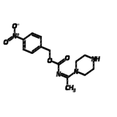 CC(=NC(=O)OCc1ccc([N+](=O)[O-])cc1)N1CCNCC1